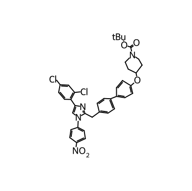 CC(C)(C)OC(=O)N1CCC(Oc2ccc(-c3ccc(Cc4nc(-c5ccc(Cl)cc5Cl)cn4-c4ccc([N+](=O)[O-])cc4)cc3)cc2)CC1